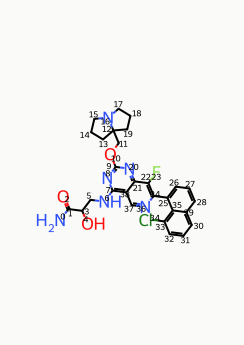 NC(=O)C(O)CNc1nc(OCC23CCCN2CCC3)nc2c(F)c(-c3cccc4cccc(Cl)c34)ncc12